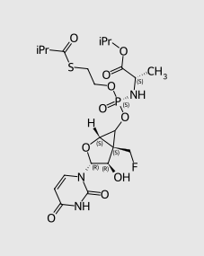 CC(C)OC(=O)[C@H](C)N[P@](=O)(OCCSC(=O)C(C)C)OC1[C@H]2O[C@@H](n3ccc(=O)[nH]c3=O)[C@H](O)[C@@]12CF